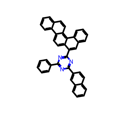 c1ccc(-c2nc(-c3ccc4ccccc4c3)nc(-c3cc4ccccc4c4c3ccc3c5ccccc5ccc34)n2)cc1